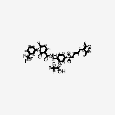 Cc1noc(C)c1CC=CCS(=O)(=O)c1ccc(CNC(=O)c2ccc(C)n(-c3cccc(C(F)(F)F)c3)c2=O)cc1.O=C(O)C(F)(F)F